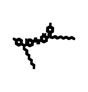 CCCCCCC=CCC(c1ccc(C)cc1)c1ccc(SSc2ccc(N(CC=CCCCCCC)c3ccc(C)cc3)nc2)cn1